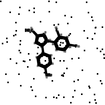 CSc1ccc(-c2cc(C(=O)O)nn2-c2ccc(F)cc2F)cc1